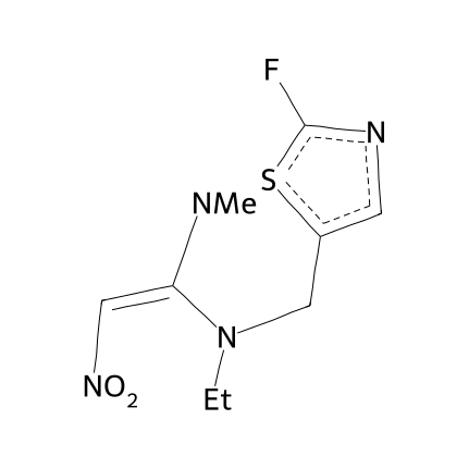 CCN(Cc1cnc(F)s1)/C(=C\[N+](=O)[O-])NC